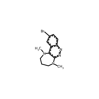 CN1CCCN(C)c2c1nnc1ccc(Br)cc21